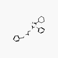 O=C(CSc1nnc(C2CCCCC2)n1-c1ccccc1)OCc1ccccc1